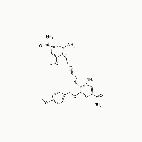 COc1ccc(COc2cc(C(N)=O)cc(N)c2NC/C=C/CNc2c(N)cc(C(N)=O)cc2OC)cc1